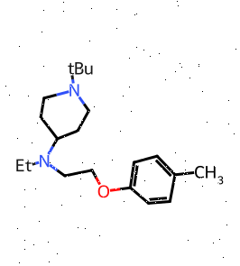 CCN(CCOc1ccc(C)cc1)C1CCN(C(C)(C)C)CC1